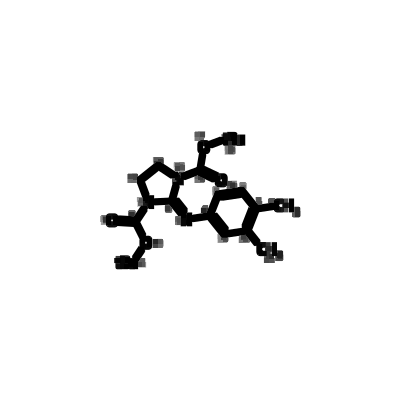 Cc1ccc(N=C2N(C(=O)OC(C)(C)C)CCN2C(=O)OC(C)(C)C)cc1C